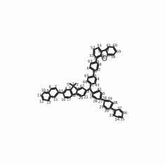 CC1(C)c2cc(-c3ccc4ccccc4c3)ccc2-c2ccc(C(c3ccc(-c4ccc(-c5ccccc5)cc4)cc3)c3ccc(-c4ccc(-c5cccc6c5oc5ccccc56)cc4)cc3)cc21